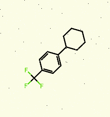 FC(F)(F)c1ccc([C]2CCCCC2)cc1